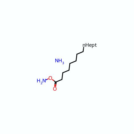 CCCCCCCCCCCCCCC(=O)ON.N